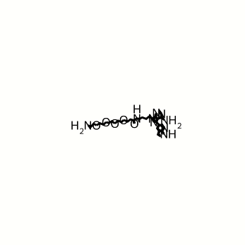 NCCOCCOCCOCCOCCC(=O)NCCCCn1nc(-c2cnc3[nH]ccc3c2)c2c(N)ncnc21